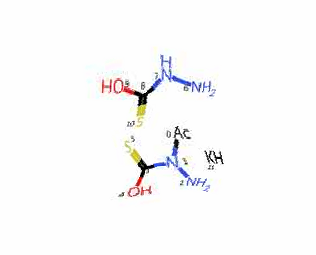 CC(=O)N(N)C(O)=S.NNC(O)=S.[KH]